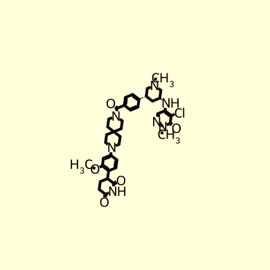 COc1cc(N2CCC3(CCN(C(=O)c4ccc([C@H]5C[C@@H](Nc6cnn(C)c(=O)c6Cl)CN(C)C5)cc4)CC3)CC2)ccc1C1CCC(=O)NC1=O